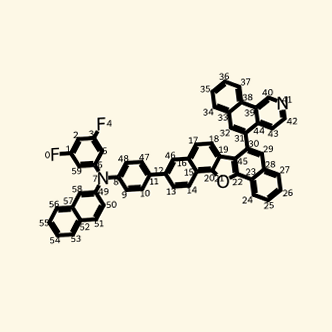 Fc1cc(F)cc(N(c2ccc(-c3ccc4c(ccc5c4oc4c6ccccc6cc(-c6cc7ccccc7c7cnccc67)c54)c3)cc2)c2ccc3ccccc3c2)c1